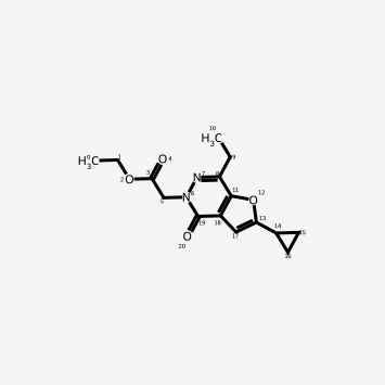 CCOC(=O)Cn1nc(CC)c2oc(C3CC3)cc2c1=O